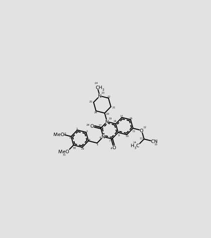 COc1ccc(Cn2c(=O)c3cc(OC(C)C#N)ccc3n(C3CCN(C)CC3)c2=O)cc1OC